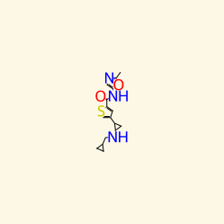 Cc1ncc(NC(=O)c2cc(C3CC3NCC3CC3)cs2)o1